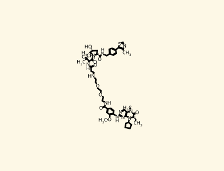 CC[C@@H]1C(=O)N(C)c2cnc(Nc3ccc(C(=O)NCCOCCOCCNCCC(=O)NC(C(=O)N4C[C@H](O)C[C@H]4C(=O)NCc4ccc(-c5scnc5C)cc4)C(C)(C)C)cc3OC)nc2N1C1CCCC1